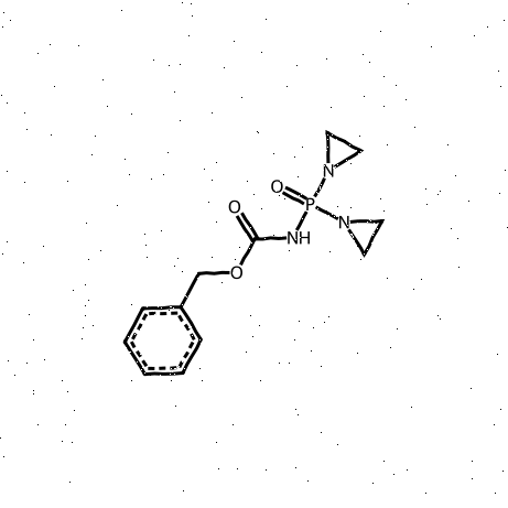 O=C(NP(=O)(N1CC1)N1CC1)OCc1ccccc1